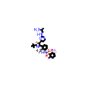 Bc1c(NS(=O)(=O)c2c(P)cccc2I)cccc1-c1nc(C(C)(C)C)sc1-c1ccnc(NCC(C)N)n1